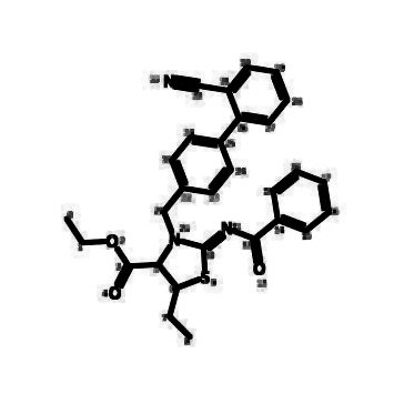 CCOC(=O)C1C(CC)SC(=NC(=O)c2ccccc2)N1Cc1ccc(-c2ccccc2C#N)cc1